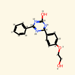 OCCOc1ccc(-c2nc(O)nc(-c3ccccc3)n2)cc1